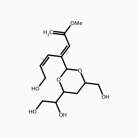 C=C(/C=C(\C=C/CO)C1OC(CO)CC(C(O)CO)O1)OC